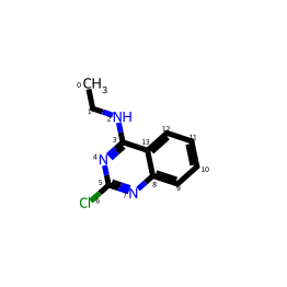 CCNc1nc(Cl)nc2ccccc12